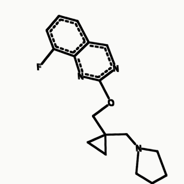 Fc1cccc2cnc(OCC3(CN4CCCC4)CC3)nc12